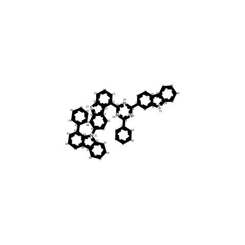 c1ccc(-c2nc(-c3ccc4c(c3)sc3ccccc34)nc(-c3cccc4sc5cc(-n6c7ccccc7c7cccc(-c8ccccc8)c76)ccc5c34)n2)cc1